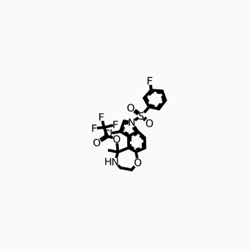 CC1(OC(=O)C(F)(F)F)NCCOc2ccc3c(c(Cl)cn3S(=O)(=O)c3cccc(F)c3)c21